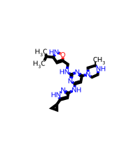 CC(C)C1C=C(CNc2nc(Nc3cc(C4CC4)[nH]n3)cc(N3CCN[C@H](C)C3)n2)ON1